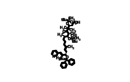 C/C(=C\C[C@H](O[Si](c1ccccc1)(c1ccccc1)C(C)(C)C)/C(C)=C/c1cccnc1)CCC[C@H](C)[C@H](O[Si](C)(C)C(C)(C)C)[C@@H](C)C(=O)C(C)(C)[C@H](CCO)O[Si](C)(C)C(C)(C)C